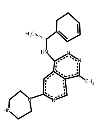 Cc1nnc(N[C@H](C)C2=CC=CCC2)c2cc(N3CCNCC3)ncc12